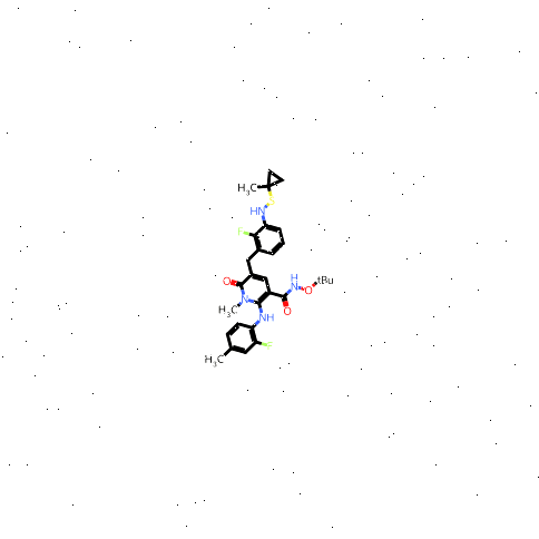 Cc1ccc(Nc2c(C(=O)NOC(C)(C)C)cc(Cc3cccc(NSC4(C)CC4)c3F)c(=O)n2C)c(F)c1